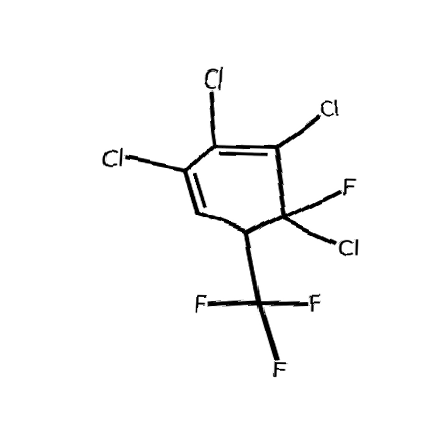 FC(F)(F)C1C=C(Cl)C(Cl)=C(Cl)C1(F)Cl